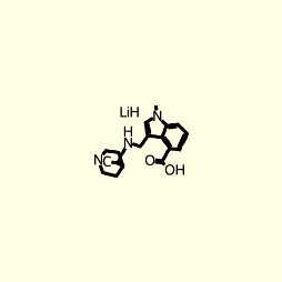 Cn1cc(CNC2CN3CCC2CC3)c2c(C(=O)O)cccc21.[LiH]